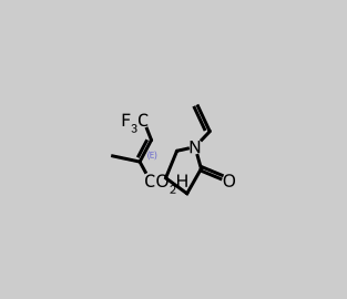 C/C(=C\C(F)(F)F)C(=O)O.C=CN1CCCC1=O